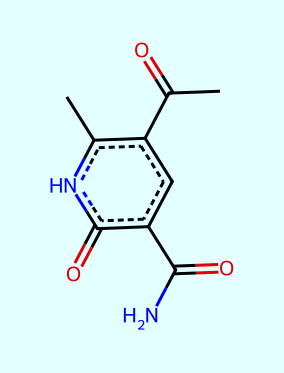 CC(=O)c1cc(C(N)=O)c(=O)[nH]c1C